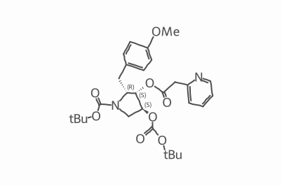 COc1ccc(C[C@@H]2[C@H](OC(=O)Cc3ccccn3)[C@@H](OC(=O)OC(C)(C)C)CN2C(=O)OC(C)(C)C)cc1